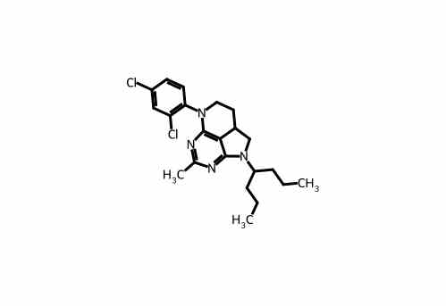 CCCC(CCC)N1CC2CCN(c3ccc(Cl)cc3Cl)c3nc(C)nc1c32